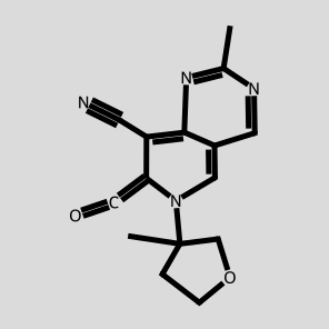 Cc1ncc2c(n1)=C(C#N)C(=C=O)N(C1(C)CCOC1)C=2